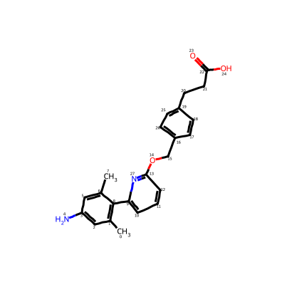 Cc1cc(N)cc(C)c1-c1cccc(OCc2ccc(CCC(=O)O)cc2)n1